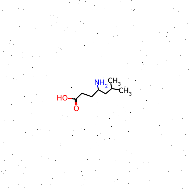 CC(C)CC(N)CCC(=O)O